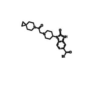 CCC(=O)c1ccc2c(c1)[nH]c(=O)n2C1CCN(CC(=O)N2CCC3(CC2)CC3)CC1